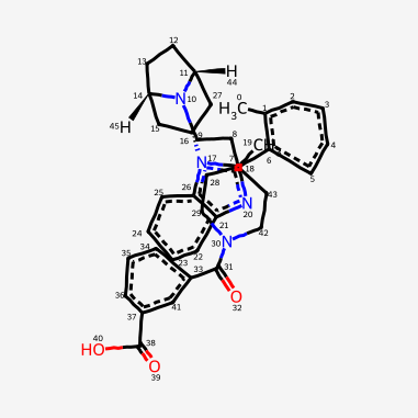 Cc1ccccc1C1(CCN2[C@@H]3CC[C@H]2C[C@@H](n2c(C)nc4ccccc42)C3)CCN(C(=O)c2cccc(C(=O)O)c2)CC1